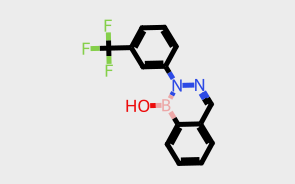 OB1c2ccccc2C=NN1c1cccc(C(F)(F)F)c1